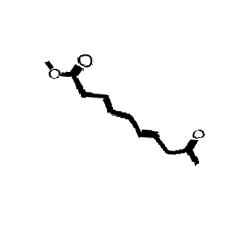 COC(=O)C/C=C/C/C=C/CC(C)=O